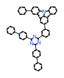 c1ccc(-c2ccc(-c3nc(-c4ccc(-c5ccccc5)cc4)nc(-c4cccc(-c5cc6c7ccccc7n7c8ccc(-c9ccccc9)cc8c(c5)c67)c4)n3)cc2)cc1